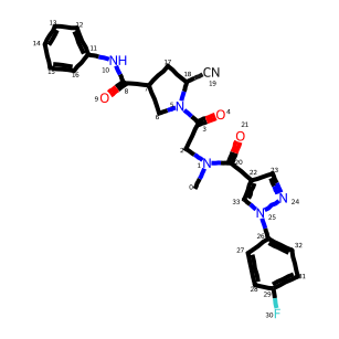 CN(CC(=O)N1CC(C(=O)Nc2ccccc2)CC1C#N)C(=O)c1cnn(-c2ccc(F)cc2)c1